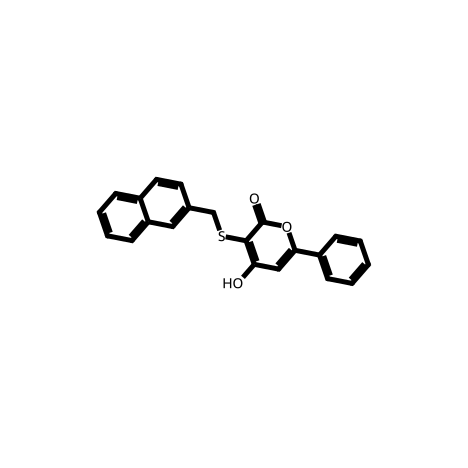 O=c1oc(-c2ccccc2)cc(O)c1SCc1ccc2ccccc2c1